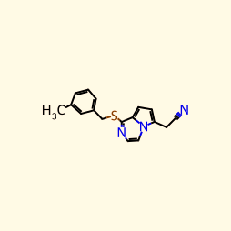 Cc1cccc(CSc2nccn3c(CC#N)ccc23)c1